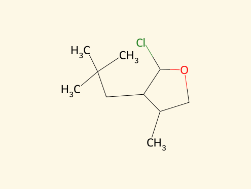 CC1COC(Cl)C1CC(C)(C)C